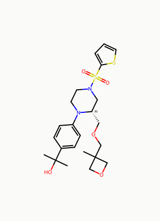 CC1(COC[C@H]2CN(S(=O)(=O)c3cccs3)CCN2c2ccc(C(C)(C)O)cc2)COC1